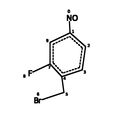 O=Nc1ccc(CBr)c(F)c1